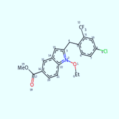 CCOn1c(Cc2ccc(Cl)cc2C(F)(F)F)cc2cc(C(=O)OC)ccc21